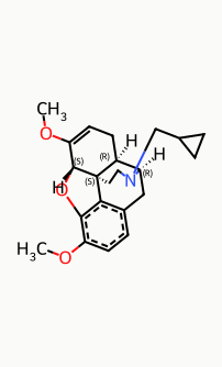 COC1=CC[C@H]2[C@H]3Cc4ccc(OC)c5c4[C@@]2(CCN3CC2CC2)[C@@H]1O5